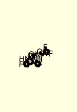 C[C@H](NC(=O)Cc1cc(F)cc(F)c1)C(=O)N[C@@H]1C(=O)Nc2cc(F)ccc2C[C@@H]1c1ccccc1